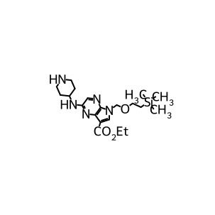 CCOC(=O)c1cn(COCC[Si](C)(C)C)c2ncc(NC3CCNCC3)nc12